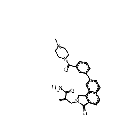 C=C(CN1Cc2c(ccc3ccc(-c4cccc(C(=O)N5CCN(C)CC5)c4)cc23)C1=O)C(N)=O